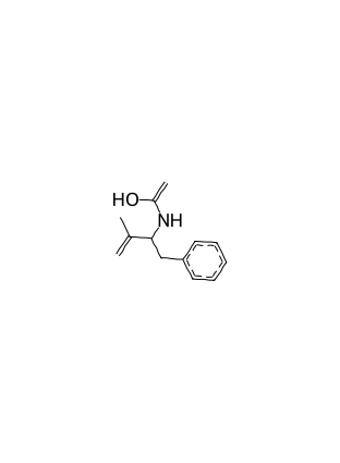 C=C(O)NC(Cc1ccccc1)C(=C)C